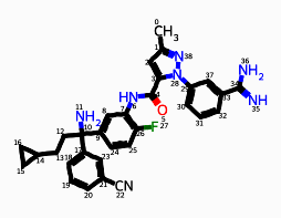 Cc1cc(C(=O)Nc2cc(C(N)(CCC3CC3)c3cccc(C#N)c3)ccc2F)n(-c2cccc(C(=N)N)c2)n1